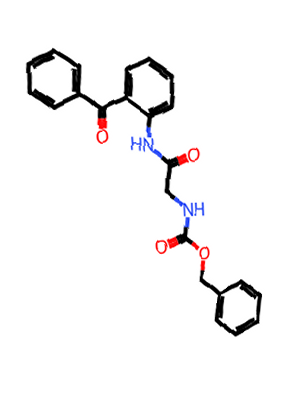 O=C(CNC(=O)OCc1ccccc1)Nc1ccccc1C(=O)c1ccccc1